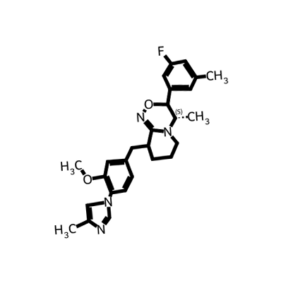 COc1cc(CC2CCCN3C2=NOC(c2cc(C)cc(F)c2)[C@@H]3C)ccc1-n1cnc(C)c1